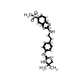 CC1(C)CS/C(=N\c2ccc(CCNc3nc4ccc(S(C)(=O)=O)cc4s3)cc2)N1